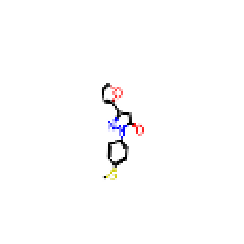 CSc1ccc(N2N=C(c3ccco3)CC2=O)cc1